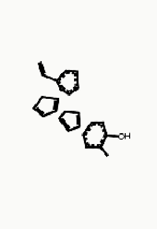 C1=CCC=C1.C1=CCC=C1.C=Cc1ccccc1.Cc1ccccc1O